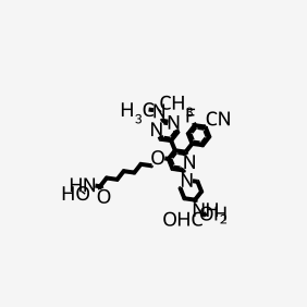 CN(C)c1ncc(-c2c(OCCCCCCC(=O)NO)cc(N3CCC(N)CC3)nc2-c2ccc(C#N)c(F)c2)cn1.O=CO